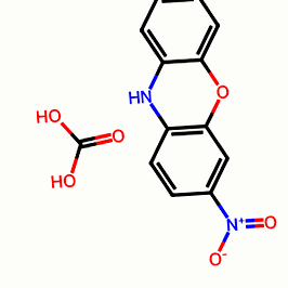 O=C(O)O.O=[N+]([O-])c1ccc2c(c1)Oc1ccccc1N2